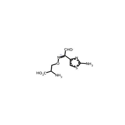 Nc1nc(/C([C]=O)=N\OCC(N)C(=O)O)cs1